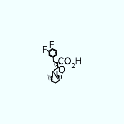 C[C@@H]1CCC[C@H](C)N1CC(=O)[C@H](Cc1ccc(F)c(F)c1)C(=O)O